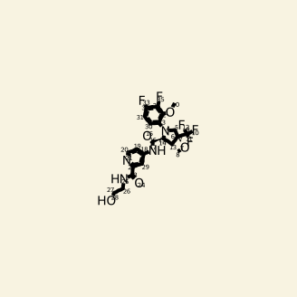 COc1c(N2C[C@@](OC)(C(F)(F)F)C[C@H]2C(=O)Nc2ccnc(C(=O)NCCO)c2)ccc(F)c1F